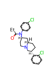 CCC(=O)N(c1ccc(Cl)cc1)[C@@H]1CCN2C[C@@H](c3ccccc3Cl)CC[C@@H]2C1